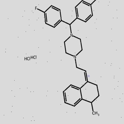 CC1CC/C(=C/CN2CCN(C(c3ccc(F)cc3)c3ccc(F)cc3)CC2)c2ccccc21.Cl.Cl